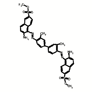 COS(=O)(=O)c1ccc2c(/N=N/c3ccc(-c4ccc(/N=N/c5c(N)ccc6cc(S(=O)(=O)OC)ccc56)c(C)c4)cc3C)c(N)ccc2c1